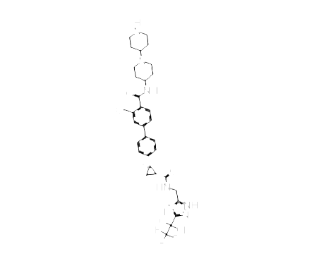 CC(C)(c1n[nH]c(CNC(=O)[C@H]2C[C@@H]2c2ccc(-c3ccc(C(=O)NC4CCN(C5CCNCC5)CC4)c(Cl)c3)cc2)n1)C(F)(F)F